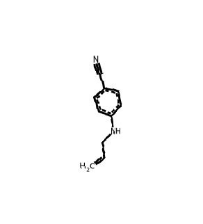 C=CCNc1ccc(C#N)cc1